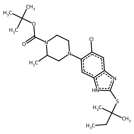 CCC(C)(C)Sc1nc2cc(Cl)c(N3CCN(C(=O)OC(C)(C)C)C(C)C3)cc2[nH]1